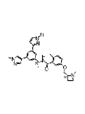 CCn1ccc(-c2cc(-c3cnn(C)c3)cc([C@@H](C)NC(=O)c3cc(OC[C@@H]4CCN4C)ccc3C)c2)n1